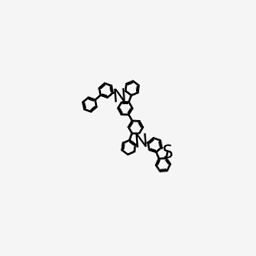 C1=CC2c3cc(C4=CC5C6=C(CCC=C6)N(c6ccc7sc8ccccc8c7c6)C5C=C4)ccc3N(c3cccc(-c4ccccc4)c3)C2C=C1